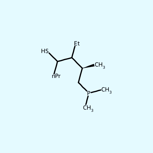 CCCC(S)C(CC)[C@@H](C)CP(C)C